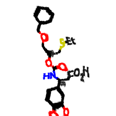 CCSC[C@@H](COCc1ccccc1)OC(=O)N[C@@H](CC(=O)O)c1ccc2c(c1)OCO2